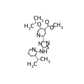 COC(=O)c1cc(-c2nsc(Nc3ncccc3C(C)C)n2)ncc1OC(C)C